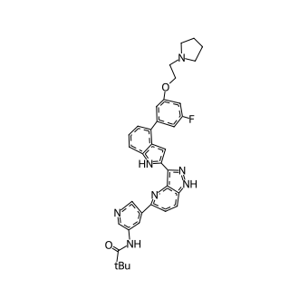 CC(C)(C)C(=O)Nc1cncc(-c2ccc3[nH]nc(-c4cc5c(-c6cc(F)cc(OCCN7CCCC7)c6)cccc5[nH]4)c3n2)c1